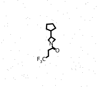 O=C(CCC(F)(F)F)N1CC(C2CCCC2)C1